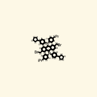 CC(C)c1ccc(N(c2ccc(C3CCCC3)cc2)c2c3ccc(CBr)cc3c(N(c3ccc(C(C)C)cc3)c3ccc(C4CCCC4)cc3)c3ccc(CBr)cc23)cc1